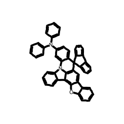 c1ccc(N(c2ccccc2)c2ccc3c(c2)-n2c4ccccc4c4c5oc6ccccc6c5cc(c42)C32c3ccccc3-c3ccccc32)cc1